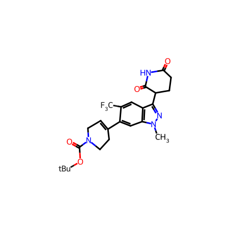 Cn1nc(C2CCC(=O)NC2=O)c2cc(C(F)(F)F)c(C3=CCN(C(=O)OC(C)(C)C)CC3)cc21